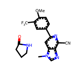 COc1ccc(-c2cc3c(ncn3C)c(C#N)n2)cc1C(F)(F)F.O=C1CCCN1